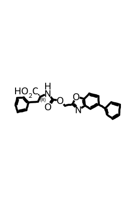 O=C(N[C@H](Cc1ccccc1)C(=O)O)OCc1nc2cc(-c3ccccc3)ccc2o1